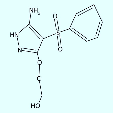 Nc1[nH]nc(OCCO)c1S(=O)(=O)c1ccccc1